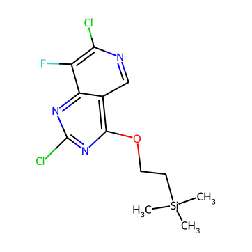 C[Si](C)(C)CCOc1nc(Cl)nc2c(F)c(Cl)ncc12